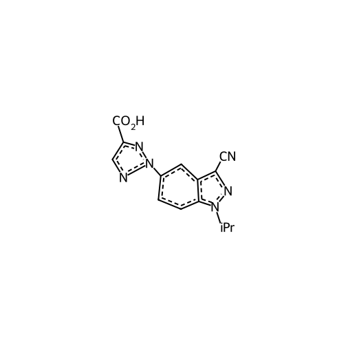 CC(C)n1nc(C#N)c2cc(-n3ncc(C(=O)O)n3)ccc21